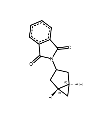 O=C1c2ccccc2C(=O)N1C1C[C@H]2C[C@@H]2C1